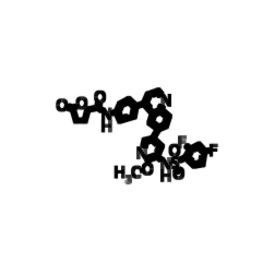 COc1ncc(-c2ccc3nccc(-c4ccc(NC(=O)C5CCC(=O)O5)cc4)c3c2)cc1NS(=O)(=O)c1ccc(F)cc1F